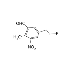 Cc1c(C=O)cc(CCF)cc1[N+](=O)[O-]